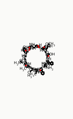 CCCC[C@H]1C(=O)N(C)[C@@H](CCCC)C(=O)N[C@@H](CC(C)C)C(=O)N[C@H](C(=O)NCC(N)=O)CSCC(=O)N[C@@H](Cc2ccc(O)cc2)C(=O)N(C)[C@@H](C)C(=O)N[C@@H](CC(N)=O)C(=O)N2CCC[C@H]2C(=O)N[C@@H](Cc2c[nH]cn2)C(=O)N[C@@H](CCCCNC(C)=O)C(=O)N2C[C@H](O)C[C@H]2C(=O)N[C@@H](Cc2c[nH]c3ccccc23)C(=O)N[C@@H](CCN)C(=O)N[C@@H](Cc2c[nH]c3ccccc23)C(=O)N1C